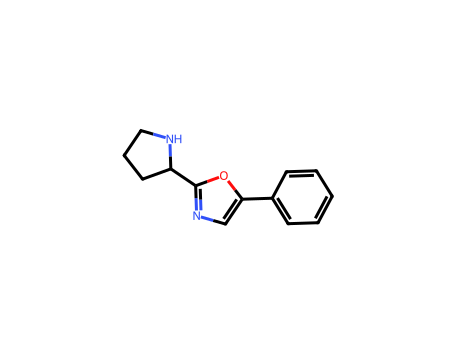 c1ccc(-c2cnc(C3CCCN3)o2)cc1